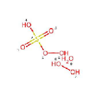 O.O=S(=O)(O)OO.OO